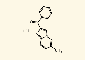 Cc1ccc2nc(C(=O)c3ccccc3)cn2c1.Cl